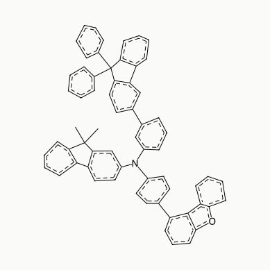 CC1(C)c2ccccc2-c2ccc(N(c3ccc(-c4cccc5oc6ccccc6c45)cc3)c3cccc(-c4ccc5c(c4)-c4ccccc4C5(c4ccccc4)c4ccccc4)c3)cc21